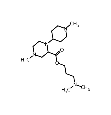 CN(C)CCCOC(=O)C1CN(C)CCN1C1CCN(C)CC1